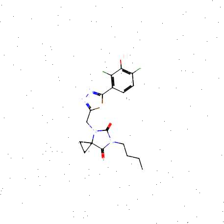 CCCCN1C(=O)N(Cc2nnc(-c3ccc(F)c(O)c3F)s2)C2(CC2)C1=O